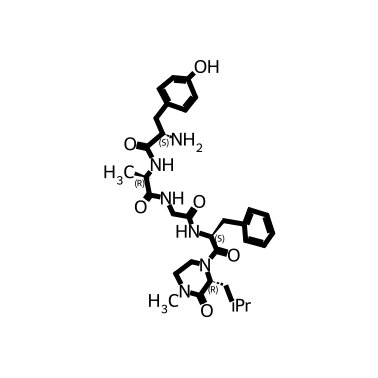 CC(C)C[C@@H]1C(=O)N(C)CCN1C(=O)[C@H](Cc1ccccc1)NC(=O)CNC(=O)[C@@H](C)NC(=O)[C@@H](N)Cc1ccc(O)cc1